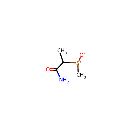 CC(C(N)=O)[S+](C)[O-]